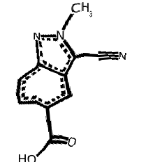 Cn1nc2ccc(C(=O)O)cc2c1C#N